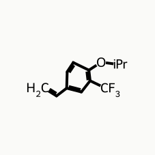 C=Cc1ccc(OC(C)C)c(C(F)(F)F)c1